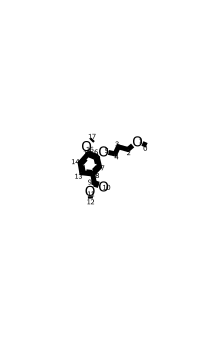 COCCCOc1cc(C(=O)OC)ccc1OC